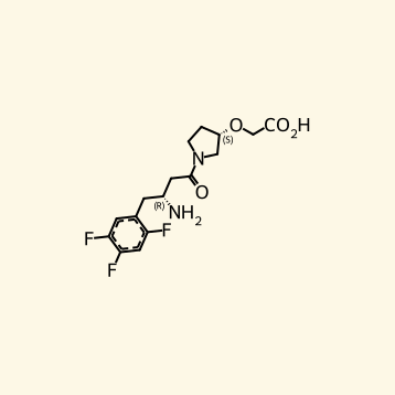 N[C@@H](CC(=O)N1CC[C@H](OCC(=O)O)C1)Cc1cc(F)c(F)cc1F